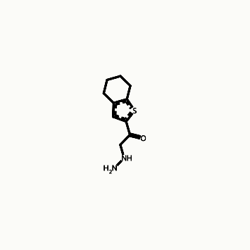 NNCC(=O)c1cc2c(s1)CCCC2